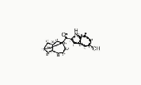 O=C(c1cc2cc(O)ccc2[nH]1)C12CCCC3CC(CC3C1)C2